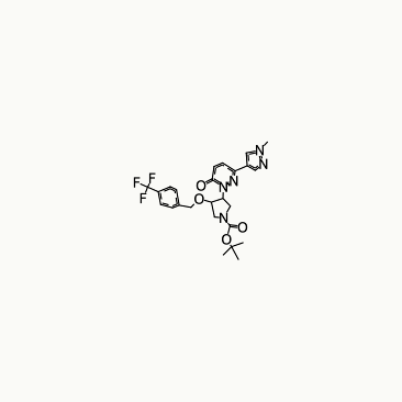 Cn1cc(-c2ccc(=O)n(C3CN(C(=O)OC(C)(C)C)CC3OCc3ccc(C(F)(F)F)cc3)n2)cn1